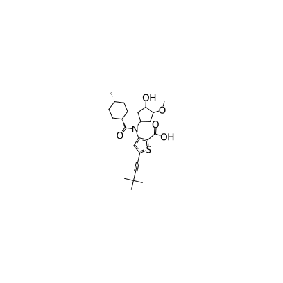 COC1CC(N(c2cc(C#CC(C)(C)C)sc2C(=O)O)C(=O)[C@H]2CC[C@H](C)CC2)CC1O